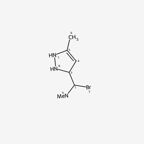 CNC(Br)C1C=C(C)NN1